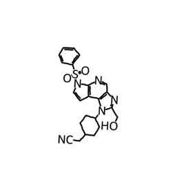 N#CCC1CCC(n2c(CO)nc3cnc4c(ccn4S(=O)(=O)c4ccccc4)c32)CC1